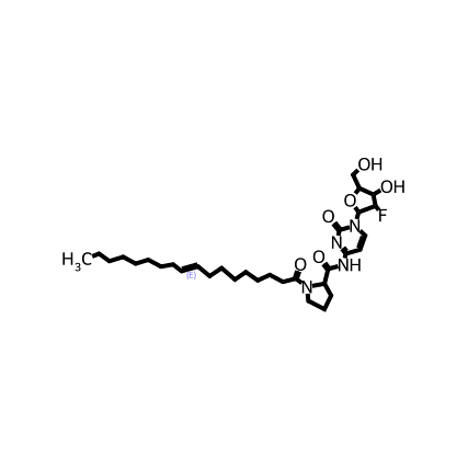 CCCCCCCC/C=C/CCCCCCCC(=O)N1CCCC1C(=O)Nc1ccn(C2OC(CO)C(O)C2F)c(=O)n1